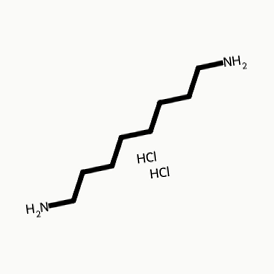 Cl.Cl.NCCCCCCCCN